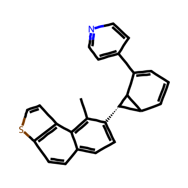 Cc1c([C@H]2C3C=CC=C(c4ccncc4)C32)ccc2ccc3sccc3c12